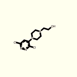 OCCN1CCN(c2cc(Cl)nnc2Cl)CC1